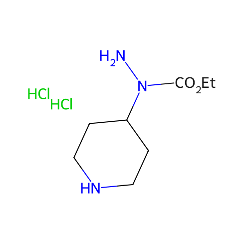 CCOC(=O)N(N)C1CCNCC1.Cl.Cl